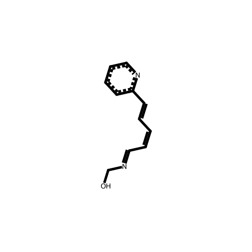 OC/N=C/C=C\C=C\c1ccccn1